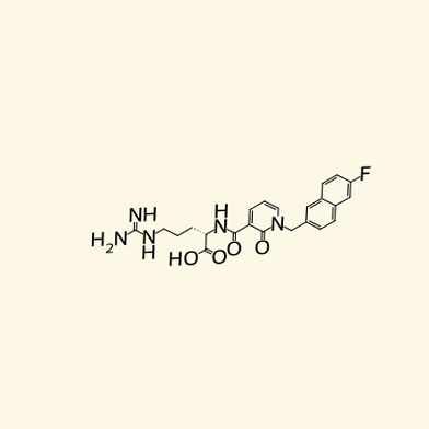 N=C(N)NCCC[C@H](NC(=O)c1cccn(Cc2ccc3cc(F)ccc3c2)c1=O)C(=O)O